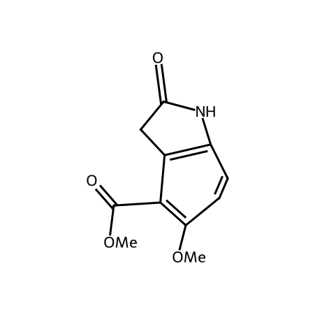 COC(=O)c1c(OC)ccc2c1CC(=O)N2